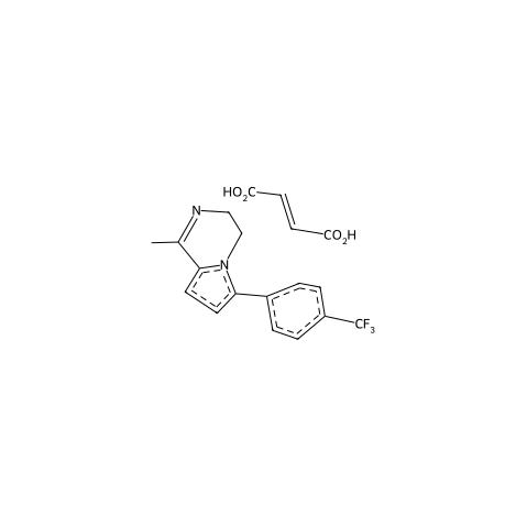 CC1=NCCn2c1ccc2-c1ccc(C(F)(F)F)cc1.O=C(O)C=CC(=O)O